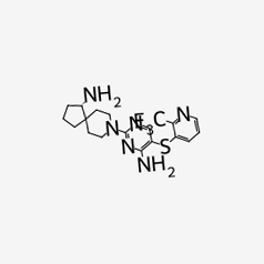 Nc1nc(N2CCC3(CCC[C@@H]3N)CC2)ncc1Sc1cccnc1C(F)(F)F